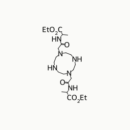 CCOC(=O)C(C)NC(=O)CN1CCNCCN(CC(=O)NC(C)C(=O)OCC)CCNCC1